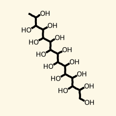 CC(O)C(O)C(O)C(O)C(O)C(O)C(O)C(O)C(O)C(O)C(O)C(O)C(O)CO